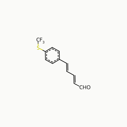 O=CC=CC=Cc1ccc(SC(F)(F)F)cc1